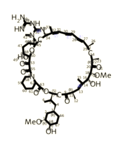 CO[C@@H]1C[C@@H](CC(C)[C@@H]2CC(=O)[C@H](C)/C=C(\C)[C@@H](O)[C@@H](OC)C(=O)[C@H](C)C[C@H](C)/C=C/C=C/C=C(/C)[C@H](/N=C(/NC(=N)N)N(C)C)C[C@@H]3CC[C@@H](C)[C@@](O)(O3)C(=O)C(=O)N3CCCCC3C(=O)O2)CC[C@H]1O